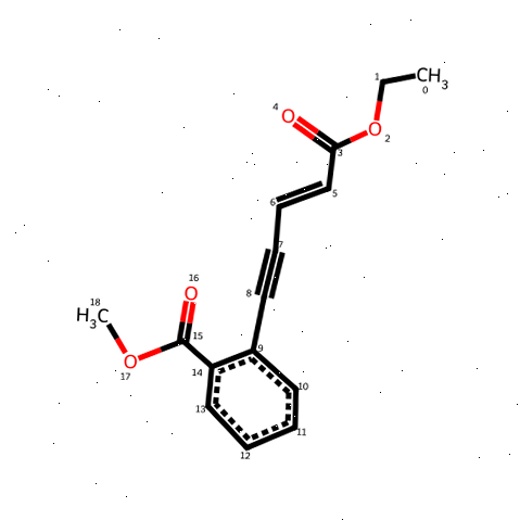 CCOC(=O)C=CC#Cc1ccccc1C(=O)OC